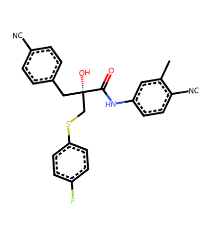 [C-]#[N+]c1ccc(NC(=O)[C@@](O)(CSc2ccc(F)cc2)Cc2ccc(C#N)cc2)cc1C